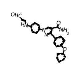 NC(=O)c1cn(-c2ccc(NC=CC=O)cc2)nc1-c1ccc(Oc2ccccc2)cc1